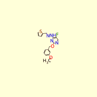 COc1cccc(COc2ncc(F)c(N/N=C/c3cccs3)n2)c1